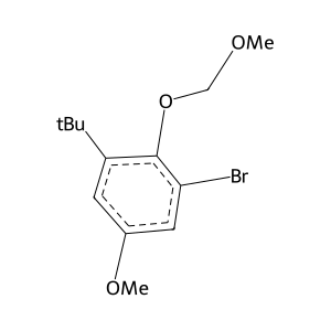 COCOc1c(Br)cc(OC)cc1C(C)(C)C